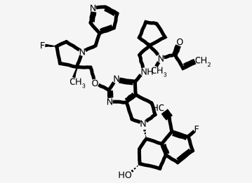 C#Cc1c(F)ccc2c1[C@@H](N1CCc3c(nc(OC[C@]4(C)C[C@@H](F)CN4Cc4cccnc4)nc3NCC3(N(C)C(=O)C=C)CCCC3)C1)C[C@@H](O)C2